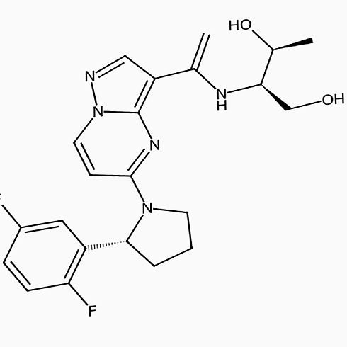 C=C(N[C@H](CO)[C@H](C)O)c1cnn2ccc(N3CCC[C@@H]3c3cc(F)ccc3F)nc12